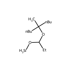 CCCCC(C)(CCCC)OC(CC)O[SiH3]